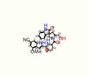 COc1cc(C#N)cc2[nH]c(C(=O)NC(CC(C)C)C(=O)N3C[C@]4(C[C@H]3CO)C(=O)Nc3ccccc34)cc12